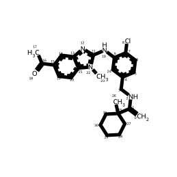 C=C(NCc1ccc(Cl)c(Nc2nc3cc(C(C)=O)ccc3n2C)c1)C1(C)CCCCC1